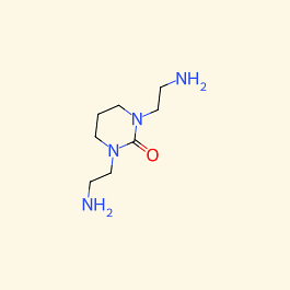 NCCN1CCCN(CCN)C1=O